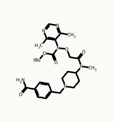 Cc1ncnc(C)c1N(OCC(=O)N(C)C1CCN(Cc2ccc(C(N)=O)cc2)CC1)C(=O)OC(C)(C)C